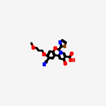 COCCCOc1cc2c(cc1C#N)-c1cc(=O)c(C(=O)O)cn1C(c1nccs1)O2